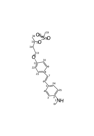 CNc1ccc(/C=C/c2ccc(OCCC(C)OS(C)(=O)=O)cc2)cc1